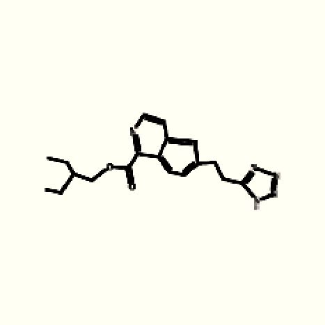 CCC(CC)COC(=O)c1nccc2cc(CCc3nnn[nH]3)ccc12